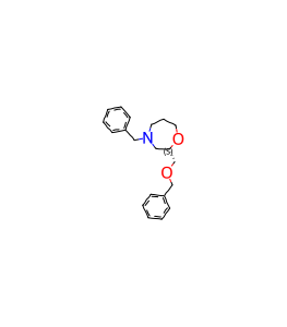 c1ccc(COC[C@@H]2CN(Cc3ccccc3)CCCO2)cc1